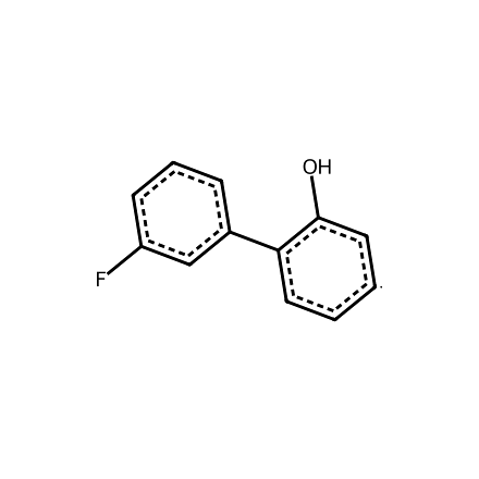 Oc1c[c]ccc1-c1cccc(F)c1